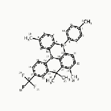 Cc1ccc(N2c3ccc(C)cc3B3c4ccc(C(F)(F)F)cc4C(C)(C)c4c(C)ccc2c43)cc1